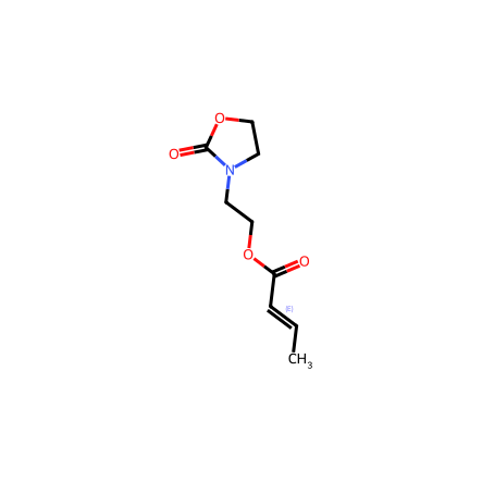 C/C=C/C(=O)OCCN1CCOC1=O